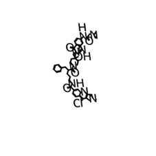 CN(C)CC(=O)Nc1ccc2c(=O)n(CC3(O)CCN(C(=O)C(CCCNC(=O)c4ccc5c(Cl)c6c(nc5c4)CN(C)C6)Cc4ccccc4)CC3)cnc2c1